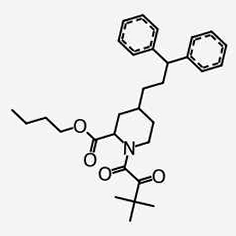 CCCCOC(=O)C1CC(CCC(c2ccccc2)c2ccccc2)CCN1C(=O)C(=O)C(C)(C)C